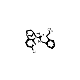 O=C(Nc1ccccc1CCC(F)(F)F)N1c2nc(Cl)ccc2N2CC[C@@H]1C2